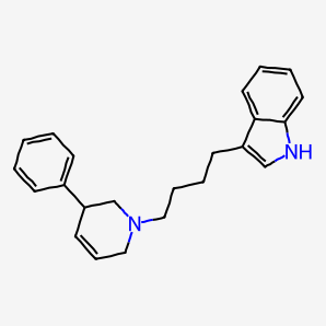 C1=CC(c2ccccc2)CN(CCCCc2c[nH]c3ccccc23)C1